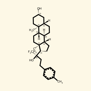 Cc1ccc(CC[C@@](O)([C@H]2CC[C@H]3[C@@H]4CC[C@H]5C[C@@H](O)CC[C@]5(C)[C@H]4CC[C@@]32C)C(F)(F)F)cc1